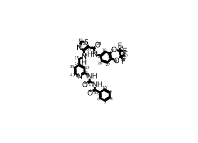 O=C(NC(=O)c1ccccc1)Nc1cc(CNc2ncsc2C(=O)Nc2ccc3c(c2)OC(F)(F)C(F)(F)O3)ccn1